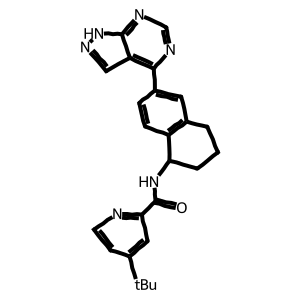 CC(C)(C)c1ccnc(C(=O)NC2CCCc3cc(-c4ncnc5[nH]ncc45)ccc32)c1